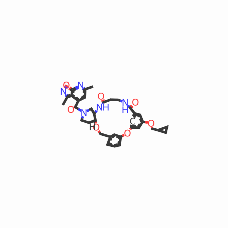 Cc1cc(C(=O)N2CC[C@H]3OCc4cccc(c4)Oc4cc(OCC5CC5)cc(c4)C(=O)NCCC(=O)NC3C2)c2c(C)noc2n1